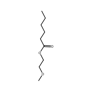 CCCCCC(=O)OCCOC